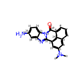 CN(C)c1cc2cccc3c(=O)n4c5ccc(N)cc5nc4c(c1)c23